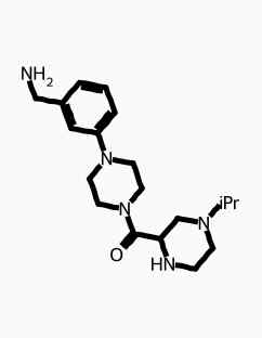 CC(C)N1CCNC(C(=O)N2CCN(c3cccc(CN)c3)CC2)C1